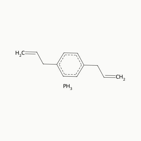 C=CCc1ccc(CC=C)cc1.P